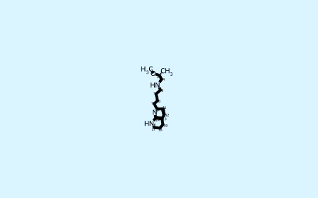 CO[C@H](C)CNCCCCc1ccc2c(n1)NCCC2